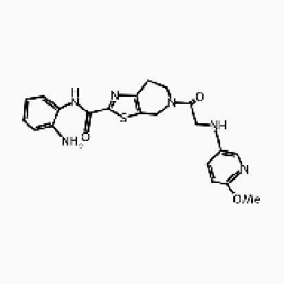 COc1ccc(NCC(=O)N2CCc3nc(C(=O)Nc4ccccc4N)sc3C2)cn1